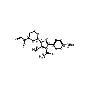 C=CC(=O)N1CCC[C@@H](n2nc(-c3ccc(OCC(C)C)cc3)c(C(N)=O)c2N)C1